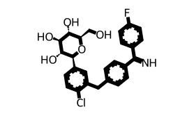 N=C(c1ccc(F)cc1)c1ccc(Cc2cc([C@@H]3O[C@H](CO)[C@@H](O)[C@H](O)[C@H]3O)ccc2Cl)cc1